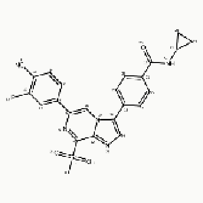 CS(=O)(=O)c1nc(-c2ccc(C#N)c(F)c2)cn2c(-c3ccc(C(=O)NC4CC4)cc3)cnc12